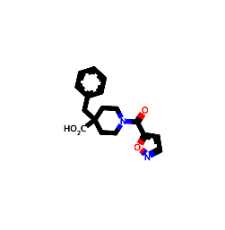 O=C(c1ccno1)N1CCC(Cc2ccccc2)(C(=O)O)CC1